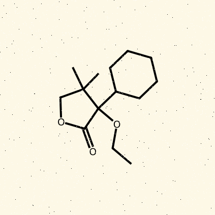 CCOC1(C2CCCCC2)C(=O)OCC1(C)C